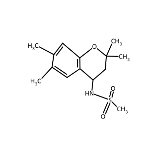 Cc1cc2c(cc1C)C(NS(C)(=O)=O)CC(C)(C)O2